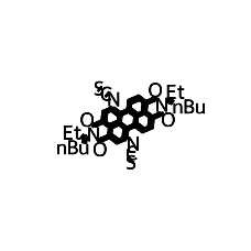 CCCCC(CC)N1C(=O)c2ccc3c4c(N=C=S)cc5c6c(cc(N=C=S)c(c7ccc(c2c37)C1=O)c64)C(=O)N(C(CC)CCCC)C5=O